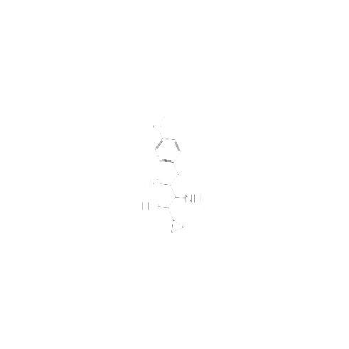 COc1ccc(CC(O)C(N)C(O)C2CC2)cc1